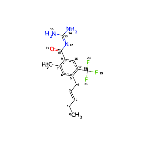 CCC=CCc1cc(C)c(C(=O)N=C(N)N)cc1C(F)(F)F